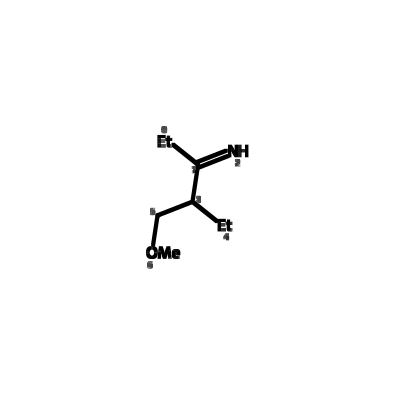 [CH2]CC(=N)C(CC)COC